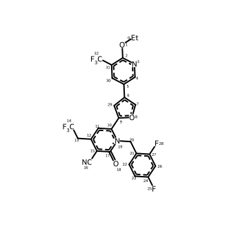 CCOc1ncc(-c2coc(-c3cc(CC(F)(F)F)c(C#N)c(=O)n3Cc3ccc(F)cc3F)c2)cc1C(F)(F)F